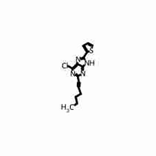 CCCCC#Cc1nc(Cl)c2nc(-c3cccs3)[nH]c2n1